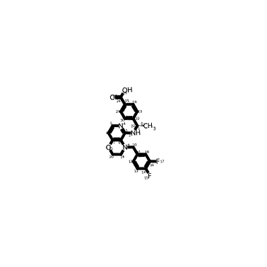 C[C@H](Nc1nccc2c1N(Cc1ccc(F)c(F)c1)CCO2)c1ccc(C(=O)O)cc1